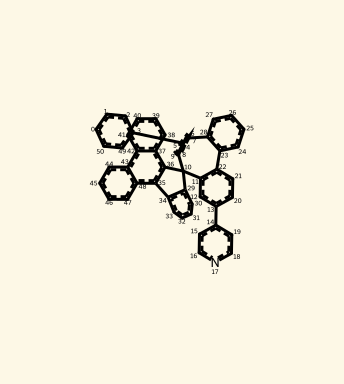 c1ccc(-c2ccc3c(c2)C2(c4cc(-c5ccncc5)ccc4-c4ccccc4-3)c3ccccc3-c3c2c2ccccc2c2ccccc32)cc1